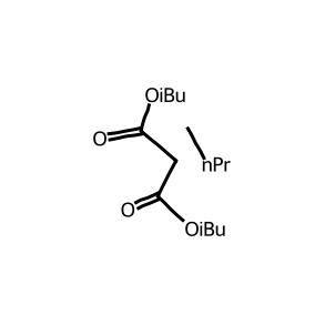 CC(C)COC(=O)CC(=O)OCC(C)C.CCCC